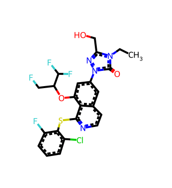 CCn1c(CO)nn(-c2cc(OC(CF)C(F)F)c3c(Sc4c(F)cccc4Cl)nccc3c2)c1=O